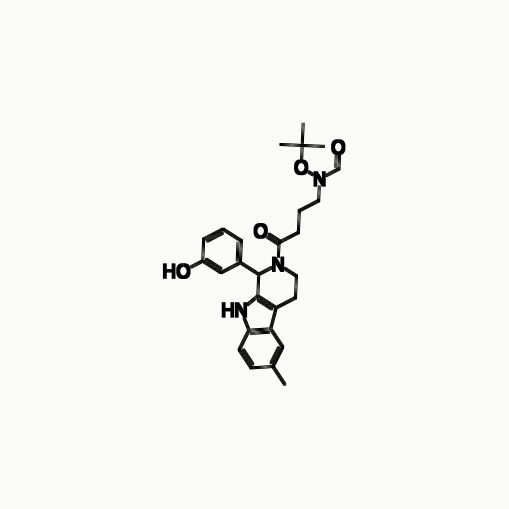 Cc1ccc2[nH]c3c(c2c1)CCN(C(=O)CCCN(C=O)OC(C)(C)C)C3c1cccc(O)c1